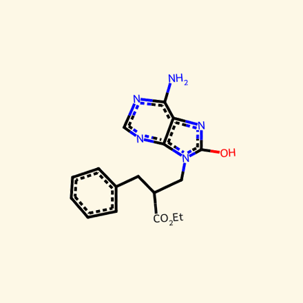 CCOC(=O)C(Cc1ccccc1)Cn1c(O)nc2c(N)ncnc21